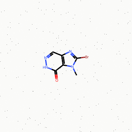 Cn1c(Br)nc2cn[nH]c(=O)c21